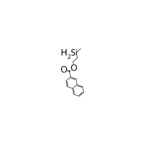 C[SiH2]CCOC(=O)c1ccc2ccccc2c1